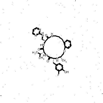 CC(C)[C@H]1NC(=O)[C@@H](Cc2ccc(O)c(F)c2)N[C@@H](C)COc2ccccc2CCCNC(=O)[C@H](CNc2ncccn2)NC1=O